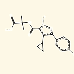 COC(=O)C(C)(C)NC(=O)c1c(C2CC2)c(-c2ccc(C#N)cc2)nn1C(C)C